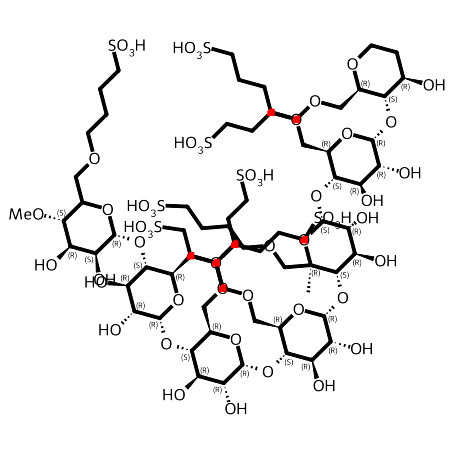 CO[C@@H]1C(COCCCCS(=O)(=O)O)O[C@H](O[C@H]2[C@H](O)[C@@H](O)[C@@H](O[C@H]3[C@H](O)[C@@H](O)[C@@H](O[C@H]4[C@H](O)[C@@H](O)[C@@H](O[C@H]5[C@H](O)[C@@H](O)[C@@H](O[C@H]6[C@H](O)[C@@H](O)[C@@H](O[C@H]7[C@H](O)CCO[C@@H]7COCCCCS(=O)(=O)O)O[C@@H]6COCCCCS(=O)(=O)O)O[C@]5(C)COCCCCS(=O)(=O)O)O[C@@H]4COCCCCS(=O)(=O)O)O[C@@H]3COCCCCS(=O)(=O)O)O[C@@H]2COCCCCS(=O)(=O)O)[C@@H](O)[C@H]1O